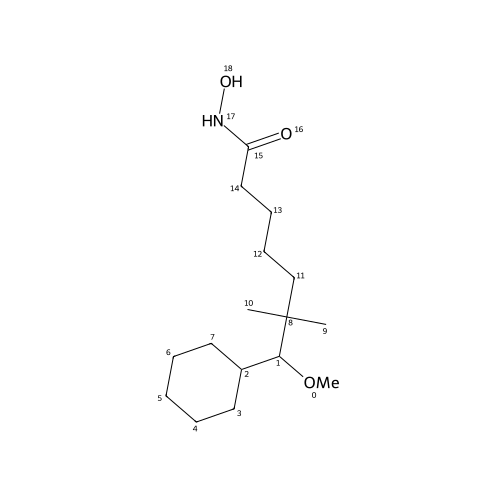 COC(C1CCCCC1)C(C)(C)CCCCC(=O)NO